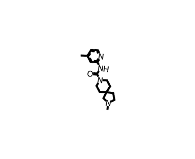 Cc1ccnc(NC(=O)N2CCC3(CCN(C)C3)CC2)c1